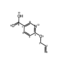 C=CCOc1ccc(C(=O)O)cn1